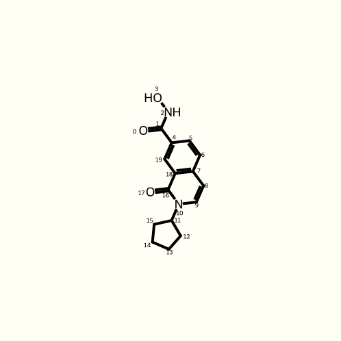 O=C(NO)c1ccc2ccn(C3CCCC3)c(=O)c2c1